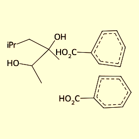 CC(C)CC(C)(O)C(C)O.O=C(O)c1ccccc1.O=C(O)c1ccccc1